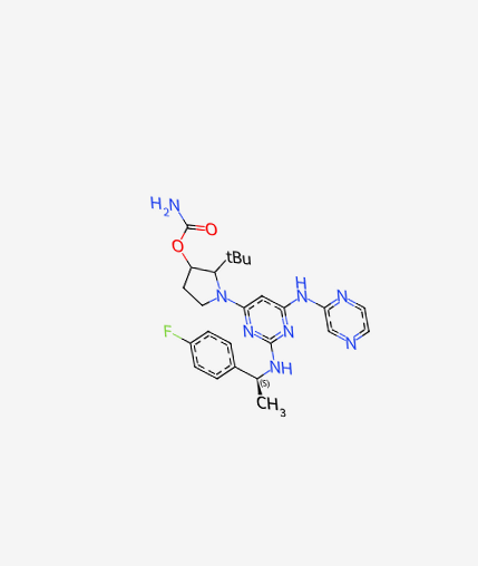 C[C@H](Nc1nc(Nc2cnccn2)cc(N2CCC(OC(N)=O)C2C(C)(C)C)n1)c1ccc(F)cc1